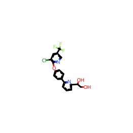 OCC(O)c1cccc(-c2ccc(Oc3ncc(C(F)(F)F)cc3Cl)cc2)n1